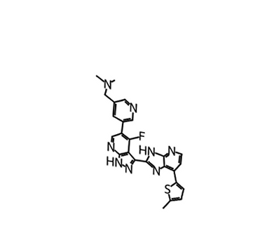 Cc1ccc(-c2ccnc3[nH]c(-c4n[nH]c5ncc(-c6cncc(CN(C)C)c6)c(F)c45)nc23)s1